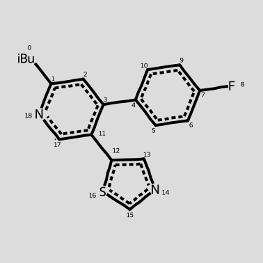 CCC(C)c1cc(-c2ccc(F)cc2)c(-c2cncs2)[c]n1